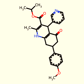 COc1ccc(C2CC(=O)C3=C(C2)NC(C)=C(C(=O)OC(C)C)C3c2cccnc2)cc1